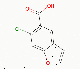 O=C(O)c1cc2ccoc2cc1Cl